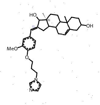 COc1cc(/C=C2\CC3C4CC=C5CC(O)CCC5(C)C4CC[C@]3(C)C2O)ccc1OCCCn1ccnc1